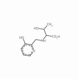 CC(O)C(NCc1ncccc1O)C(=O)O